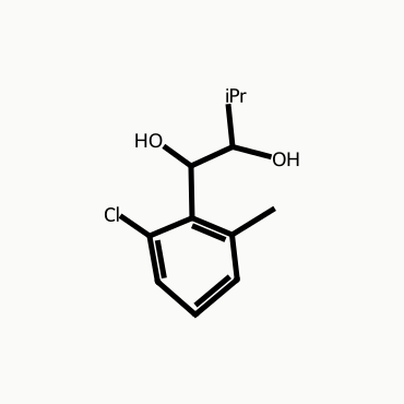 Cc1cccc(Cl)c1C(O)C(O)C(C)C